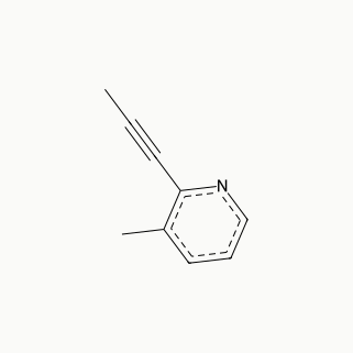 CC#Cc1ncccc1C